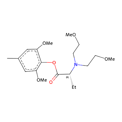 CC[C@H](C(=O)Oc1c(OC)cc(C)cc1OC)N(CCOC)CCOC